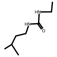 CCNC(=O)NCCC(C)C